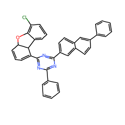 Clc1cccc2c1OC1C=CC=C(c3nc(-c4ccccc4)nc(-c4ccc5cc(-c6ccccc6)ccc5c4)n3)C21